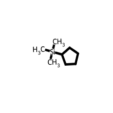 C[Si](C)(C)[C]1CCCC1